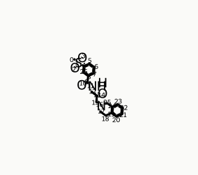 CS(=O)(=O)c1cccc(C(=O)NCC(O)CN2CCc3ccccc3C2)c1